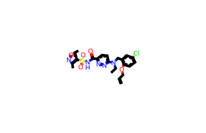 C=CCOc1ccc(Cl)cc1CN(CC)c1ccc(C(=O)NS(=O)(=O)c2c(C)noc2C)nn1